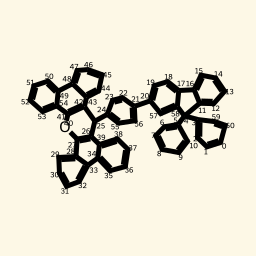 c1ccc(C2(c3ccccc3)c3ccccc3-c3ccc(-c4ccc(C5c6c(c7ccccc7c7ccccc67)Oc6c5c5ccccc5c5ccccc65)cc4)cc32)cc1